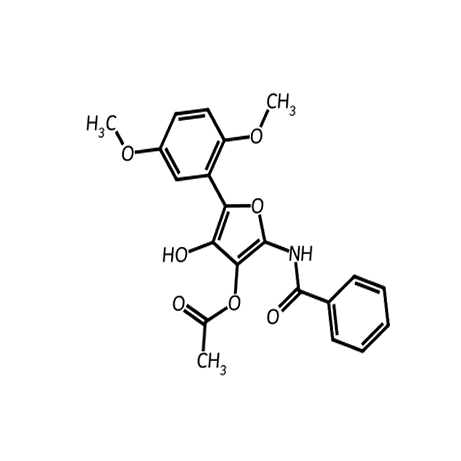 COc1ccc(OC)c(-c2oc(NC(=O)c3ccccc3)c(OC(C)=O)c2O)c1